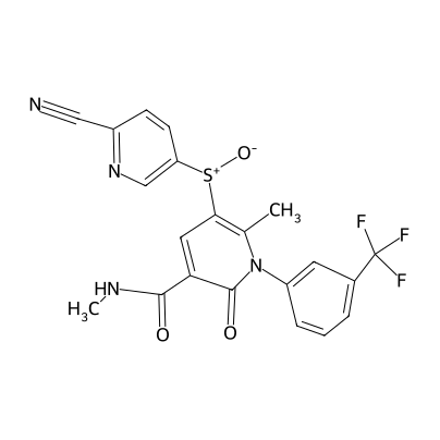 CNC(=O)c1cc([S+]([O-])c2ccc(C#N)nc2)c(C)n(-c2cccc(C(F)(F)F)c2)c1=O